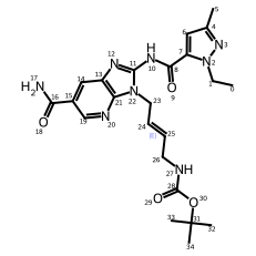 CCn1nc(C)cc1C(=O)Nc1nc2cc(C(N)=O)cnc2n1C/C=C/CNC(=O)OC(C)(C)C